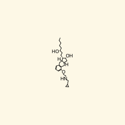 CCCCC[C@@H](O)CC[C@@H]1[C@H]2Cc3cccc(OCCNCC4CC4)c3C[C@H]2C[C@H]1O